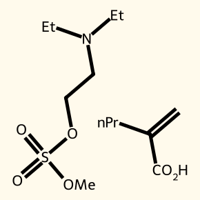 C=C(CCC)C(=O)O.CCN(CC)CCOS(=O)(=O)OC